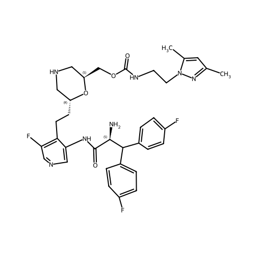 Cc1cc(C)n(CCNC(=O)OC[C@@H]2CNC[C@@H](CCc3c(F)cncc3NC(=O)[C@@H](N)C(c3ccc(F)cc3)c3ccc(F)cc3)O2)n1